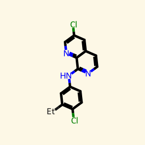 CCc1cc(Nc2nccc3cc(Cl)cnc23)ccc1Cl